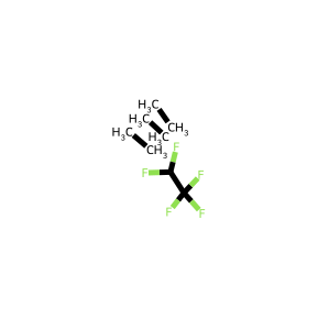 CC.CC.CC.FC(F)C(F)(F)F